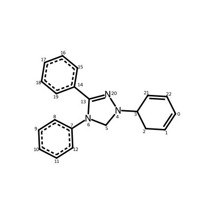 C1=CCC(N2CN(c3ccccc3)C(c3ccccc3)=N2)C=C1